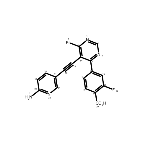 CCc1ncnc(-c2ccc(C(=O)O)c(F)c2)c1C#Cc1ccc(N)nc1